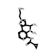 COCCn1nc2c(n1)C(C)N(C)c1c-2ccnc1NC(=O)C1CC1